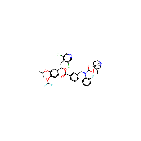 CC(C)Oc1cc([C@H](Cc2c(Cl)cncc2Cl)OC(=O)c2cccc(CN(C(=O)O[C@H]3CN4CCC3CC4)c3ccccc3F)c2)ccc1OC(F)F